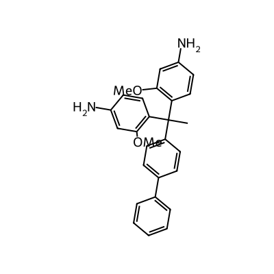 COc1cc(N)ccc1C(C)(c1ccc(-c2ccccc2)cc1)c1ccc(N)cc1OC